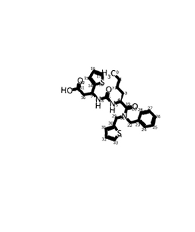 CCCC[C@H](NC(=O)NC(CC(=O)O)c1cccs1)C(=O)N(Cc1ccccc1)Cc1cccs1